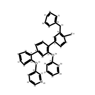 Fc1ccc(-c2ccc(-c3cc[c]cc3Oc3cccnc3)cc2Oc2ccccn2)cc1Cc1ccccc1